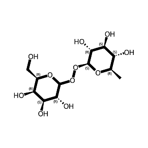 C[C@H]1O[C@@H](OOC2O[C@H](CO)[C@H](O)[C@H](O)[C@H]2O)[C@H](O)[C@@H](O)[C@@H]1O